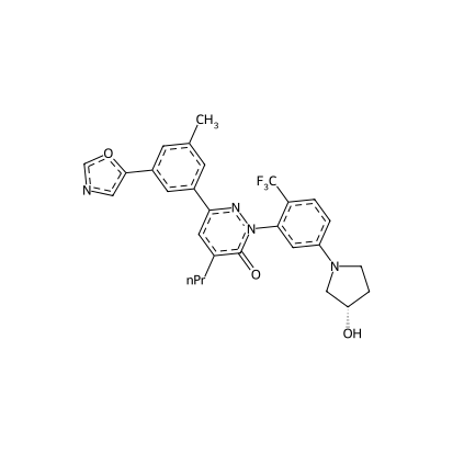 CCCc1cc(-c2cc(C)cc(-c3cnco3)c2)nn(-c2cc(N3CC[C@H](O)C3)ccc2C(F)(F)F)c1=O